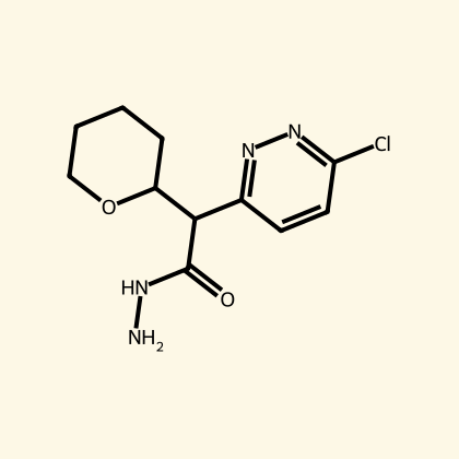 NNC(=O)C(c1ccc(Cl)nn1)C1CCCCO1